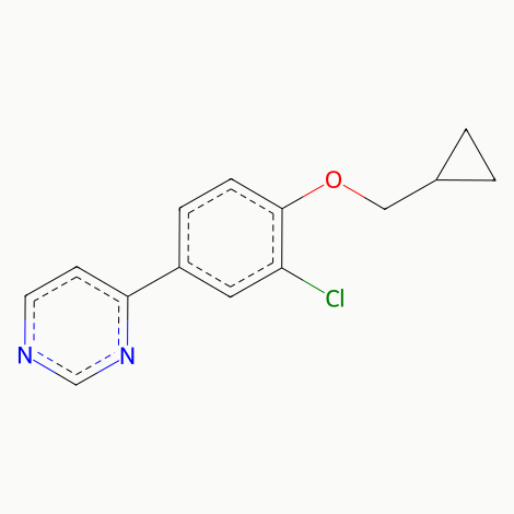 Clc1cc(-c2ccncn2)ccc1OCC1CC1